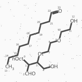 CCCCCCCCC(C=O)C(CO)OCCOCCO.CCCCCCCCCC=O